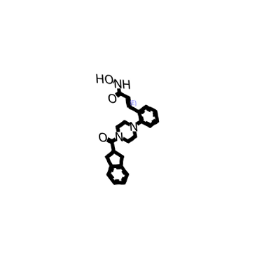 O=C(/C=C/c1ccccc1N1CCN(C(=O)C2Cc3ccccc3C2)CC1)NO